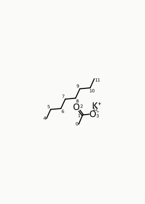 CC(=O)[O-].CCCCCCCC.[K+]